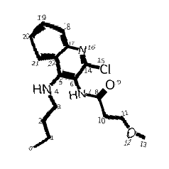 CCCCNc1c(NC(=O)CCOC)c(Cl)nc2ccccc12